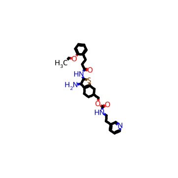 CCOc1ccccc1CCC(=O)NC1SC2=C(CCC(COC(=O)NCCc3cccnc3)C2)C1N